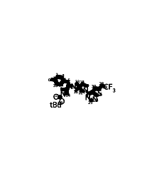 Cc1ccc(CC(C2CN(C(=O)OC(C)(C)C)C2)N2CC3(CCN(c4ncnc5sc(CC(F)(F)F)cc45)C3)C2)cc1